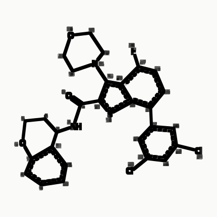 O=C(NC1CCOc2ccccc21)c1sc2c(-c3cc(Cl)cc(Cl)c3)ccc(F)c2c1N1CCOCC1